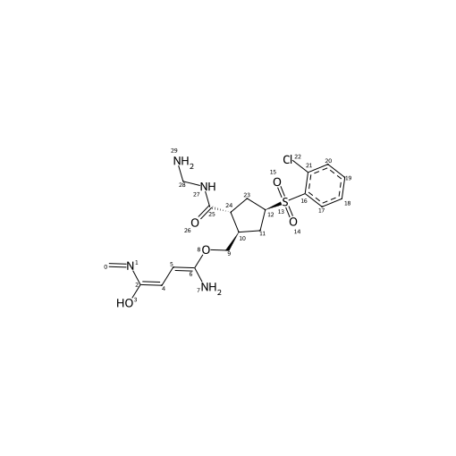 C=N/C(O)=C\C=C(/N)OC[C@@H]1C[C@H](S(=O)(=O)c2ccccc2Cl)C[C@H]1C(=O)NCN